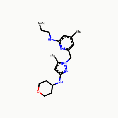 CNCCNc1cc(C(C)(C)C)cc(Cn2nc(NC3CCOCC3)cc2C(C)(C)C)n1